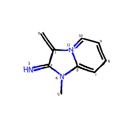 C=C1C(=N)N(C)c2cccc[n+]21